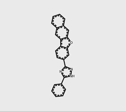 c1ccc(-c2nc(-c3ccc4c(c3)oc3cc5ccccc5cc34)n[nH]2)cc1